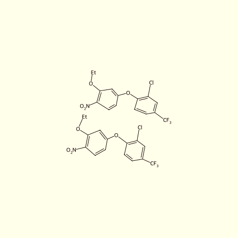 CCOc1cc(Oc2ccc(C(F)(F)F)cc2Cl)ccc1[N+](=O)[O-].CCOc1cc(Oc2ccc(C(F)(F)F)cc2Cl)ccc1[N+](=O)[O-]